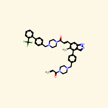 C=CC(=O)N1CCN(Cc2ccc(-c3c(C)c(/C=C/C(=O)N4CCN(Cc5ccc(-c6ccccc6C(F)(F)F)cc5)CC4)cc4[nH]ncc34)cc2)CC1